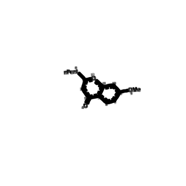 CCCCCc1cc(=O)c2ccc(OC)cc2o1